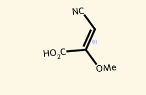 CO/C(=C/C#N)C(=O)O